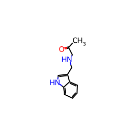 CC(=O)CNCc1c[nH]c2ccccc12